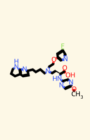 COc1cnc(N[C@@H](CCN(CCCCc2ccc3c(n2)NCCC3)CCOc2cncc(F)c2)C(=O)O)cn1